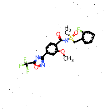 COc1cc(-c2noc(C(F)(F)F)n2)ccc1C(=O)N=S(C)(=O)Cc1ccccc1F